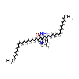 CCCCCCCC/C=C\CCCCCCCCC(CN(C)C)C(CCCCCCCC/C=C\CCCCCCCC)C(N)=O